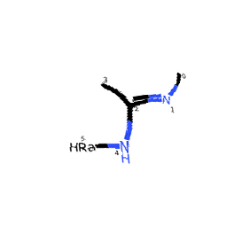 C/N=C(\C)[NH][RaH]